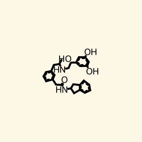 CC(Cc1cccc(CC(=O)NC2Cc3ccccc3C2)c1)NCC(O)c1cc(O)cc(O)c1